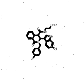 COCCNC(=O)C1c2ccccc2C(=O)N(Cc2ccc(Cl)cc2)C1c1c[nH]c2cc(Cl)ccc12